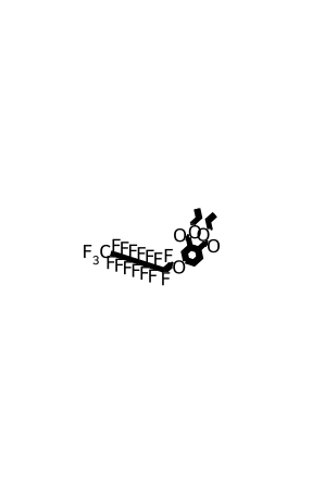 C=CCOC(=O)c1ccc(OC(F)=C(F)C(F)(F)C(F)(F)C(F)(F)C(F)(F)C(F)(F)C(F)(F)C(F)(F)F)cc1C(=O)OCC=C